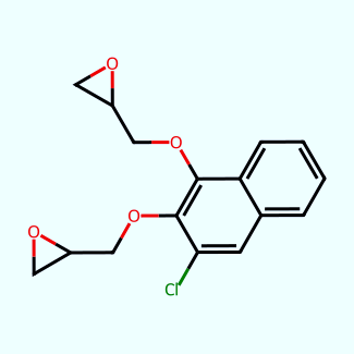 Clc1cc2ccccc2c(OCC2CO2)c1OCC1CO1